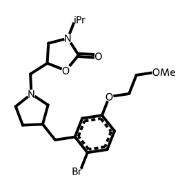 COCCOc1ccc(Br)c(CC2CCN(CC3CN(C(C)C)C(=O)O3)C2)c1